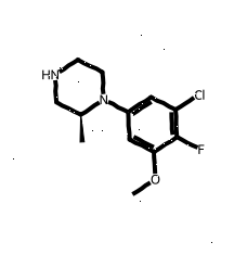 COc1cc(N2CCNC[C@@H]2C)cc(Cl)c1F